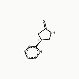 S=C1C[C@H](c2cnccn2)CN1